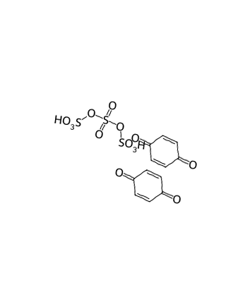 O=C1C=CC(=O)C=C1.O=C1C=CC(=O)C=C1.O=S(=O)(O)OS(=O)(=O)OS(=O)(=O)O